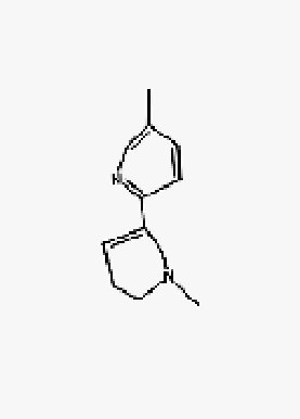 Cc1ccc(C2=CCCN(C)C2)nc1